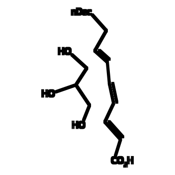 CCCCCCCCCCCC=CC=CC=CC(=O)O.OCC(O)CO